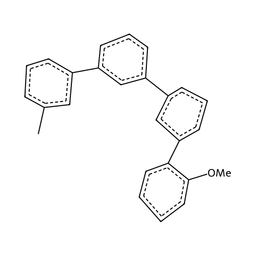 COc1ccccc1-c1cccc(-c2cccc(-c3cccc(C)c3)c2)c1